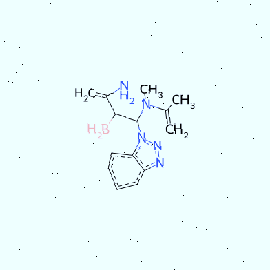 BC(C(=C)N)C(N(C)C(=C)C)n1nnc2ccccc21